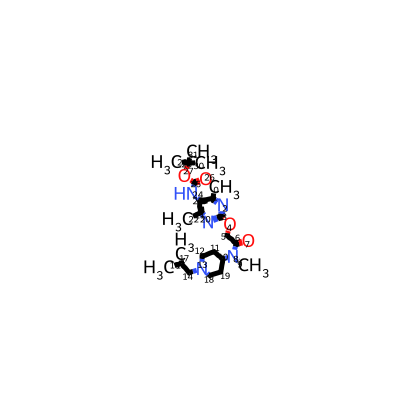 Cc1nc(OCC(=O)N(C)C2CCN(CC(C)C)CC2)nc(C)c1NC(=O)OC(C)(C)C